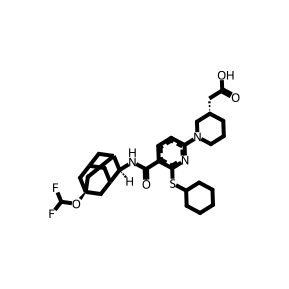 O=C(O)C[C@@H]1CCCN(c2ccc(C(=O)N[C@H]3C4CC5CC3C[C@@](OC(F)F)(C5)C4)c(SC3CCCCC3)n2)C1